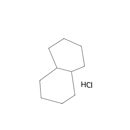 C1CCC2CCCCC2C1.Cl